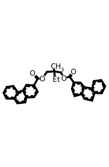 CCC(C)(COC(=O)c1ccc2ccc3ccccc3c2c1)COC(=O)c1ccc2ccc3ccccc3c2c1